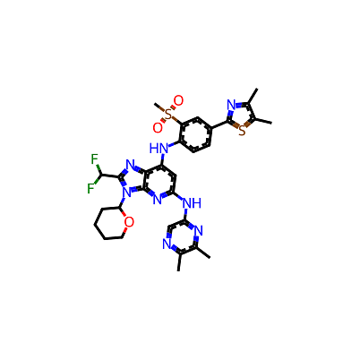 Cc1ncc(Nc2cc(Nc3ccc(-c4nc(C)c(C)s4)cc3S(C)(=O)=O)c3nc(C(F)F)n(C4CCCCO4)c3n2)nc1C